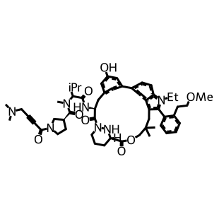 CCn1c(-c2ccccc2CCOC)c2c3cc(ccc31)-c1cc(O)cc(c1)C[C@H](NC(=O)C(C(C)C)N(C)C(=O)[C@H]1CCN(C(=O)C#CCN(C)C)C1)C(=O)N1CCC[C@H](N1)C(=O)OCC(C)(C)C2